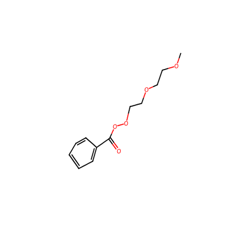 COCCOCCOOC(=O)c1ccccc1